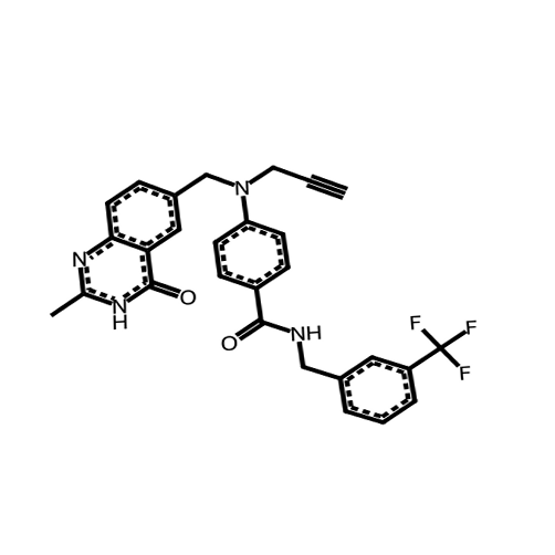 C#CCN(Cc1ccc2nc(C)[nH]c(=O)c2c1)c1ccc(C(=O)NCc2cccc(C(F)(F)F)c2)cc1